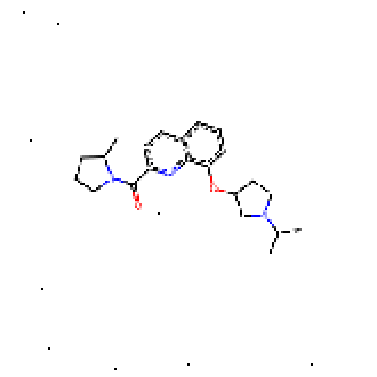 CC(C)N1CCC(Oc2cccc3ccc(C(=O)N4CCCC4C)nc23)C1